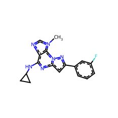 Cn1cnc2c(NC3CC3)nc3cc(-c4cccc(F)c4)nn3c21